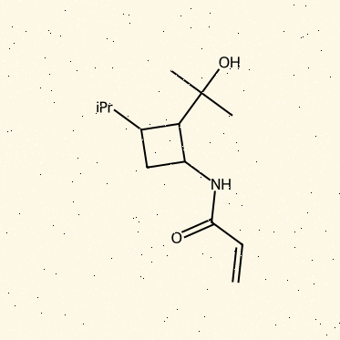 C=CC(=O)NC1CC(C(C)C)C1C(C)(C)O